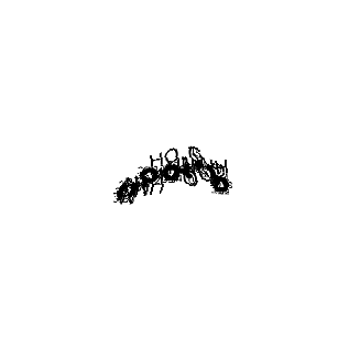 O=C(NC[C@H](NS(=O)(=O)c1ccccc1)C(=O)O)c1ccc(N2CCCC(Nc3ncccn3)C2)cc1